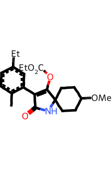 CCOC(=O)OC1=C(c2cc(CC)ccc2C)C(=O)NC12CCC(OC)CC2